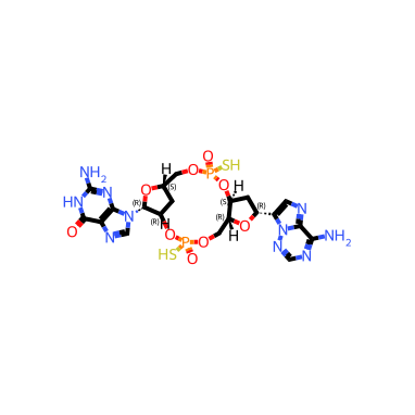 Nc1nc2c(ncn2[C@@H]2O[C@@H]3COP(=O)(S)O[C@H]4C[C@H](c5cnc6c(N)ncnn56)O[C@@H]4COP(=O)(S)O[C@@H]2C3)c(=O)[nH]1